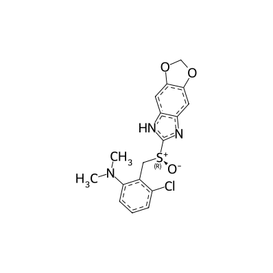 CN(C)c1cccc(Cl)c1C[S@+]([O-])c1nc2cc3c(cc2[nH]1)OCO3